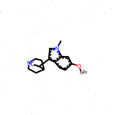 CCCOc1ccc2c(C3CN4CCC3CC4)cn(C)c2c1